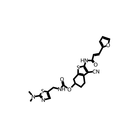 CN(C)c1ncc(CNC(=O)OC2CCc3c(sc(NC(=O)C=Cc4ccco4)c3C#N)C2)s1